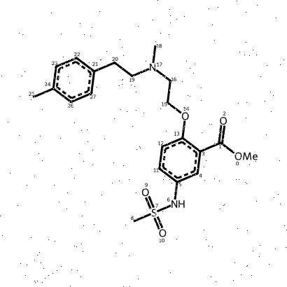 COC(=O)c1cc(NS(C)(=O)=O)ccc1OCCN(C)CCc1ccc(C)cc1